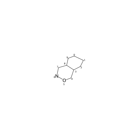 C1CCC2CO[N]CC2C1